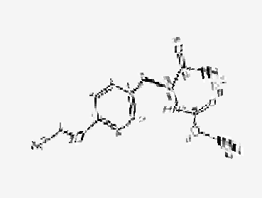 CC(=O)COc1ccc(C[C@H](NC(=O)OC(C)(C)C)C(N)=O)cc1